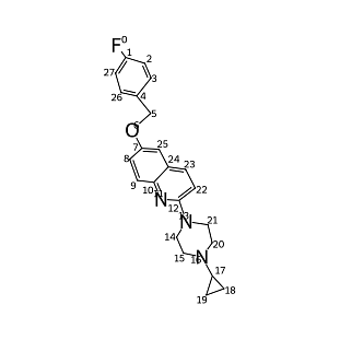 Fc1ccc(COc2ccc3nc(N4CCN(C5CC5)CC4)ccc3c2)cc1